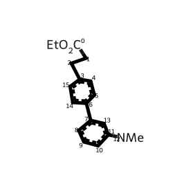 CCOC(=O)CCc1ccc(-c2cccc(NC)c2)cc1